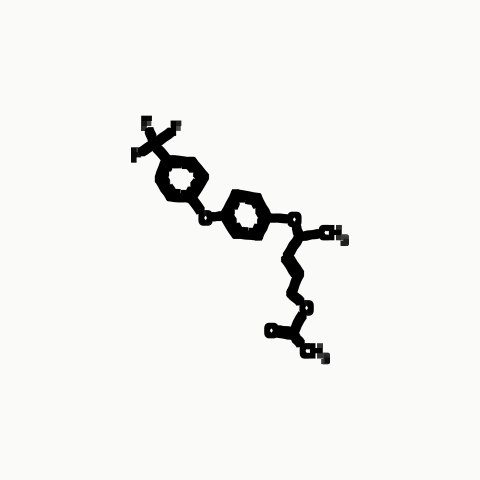 CC(=O)OC/C=C/C(C)Oc1ccc(Oc2ccc(C(F)(F)F)cc2)cc1